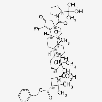 CC(C)C1=C2[C@H]3CC[C@@H]4[C@]5(C)CC[C@H]([C@@]6(C(=O)O)C[C@@H](C(=O)OCc7ccccc7)C6(C)C)C(C)(C)[C@H]5CC[C@@]4(C)[C@]3(C)CC[C@@]2(C(=O)N2CCC[C@H]2C(C)(C)O)CC1=O